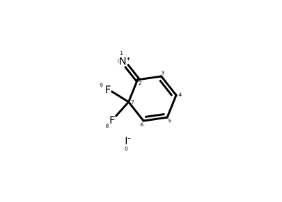 [I-].[N+]=C1C=CC=CC1(F)F